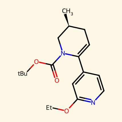 CCOc1cc(C2=CC[C@H](C)CN2C(=O)OC(C)(C)C)ccn1